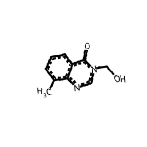 Cc1cccc2c(=O)n(CO)cnc12